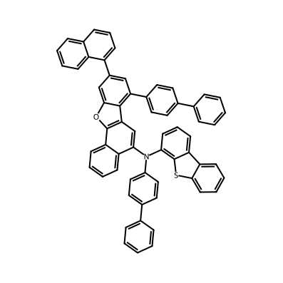 c1ccc(-c2ccc(-c3cc(-c4cccc5ccccc45)cc4oc5c6ccccc6c(N(c6ccc(-c7ccccc7)cc6)c6cccc7c6sc6ccccc67)cc5c34)cc2)cc1